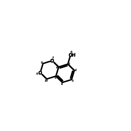 Oc1cccc2c1OCOC2